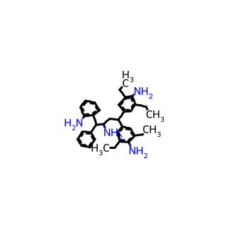 CCc1cc(C(CC(N)C(c2ccccc2)c2ccccc2N)c2cc(CC)c(N)c(CC)c2)cc(CC)c1N